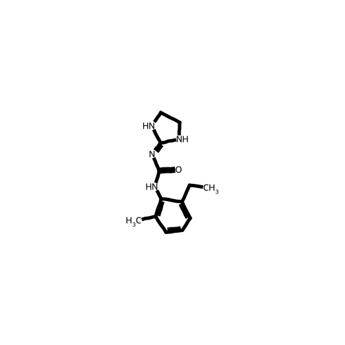 CCc1cccc(C)c1NC(=O)N=C1NCCN1